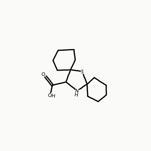 O=C(O)C1NC2(CCCCC2)SC12CCCCC2